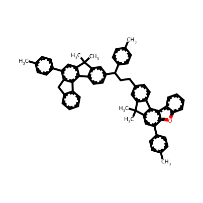 Cc1ccc(-c2cc3c(c4c2Cc2ccccc2-4)-c2ccc(C(CCc4ccc5c(c4)C(C)(C)c4cc(-c6ccc(C)cc6)c6oc7ccccc7c6c4-5)c4ccc(C)cc4)cc2C3(C)C)cc1